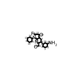 Nc1cccc(-c2cc3c(=O)cc(F)n(-c4ccccc4)c3nc2C=O)c1